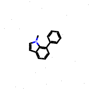 Cn1ccc2cccc(-c3ccccc3)c21